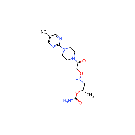 C[C@@H](CNOCC(=O)N1CCN(c2ncc(C#N)cn2)CC1)OC(N)=O